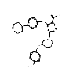 COc1ccc(N[C@@H]2CCCN(c3nnc(C(N)=O)c(Nc4ccc(C5CCNCC5)cc4)n3)C2)cc1